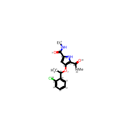 CCNC(=O)c1cc(OC(C)c2ccccc2Cl)c(C(=O)NC)[nH]1